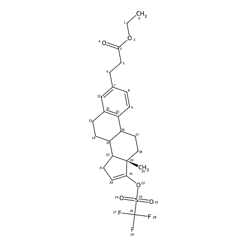 CCOC(=O)CCc1ccc2c(c1)CCC1C2CC[C@]2(C)C(OS(=O)(=O)C(F)(F)F)=CCC12